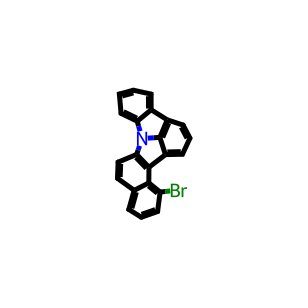 Brc1cccc2ccc3c(c4cccc5c6ccccc6n3c54)c12